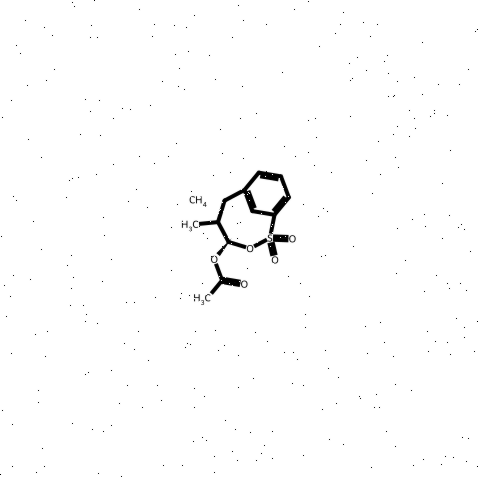 C.CC(=O)O[C@@H]1OS(=O)(=O)c2cccc(c2)CC1C